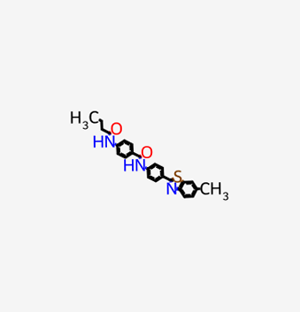 CCCC(=O)Nc1ccc(C(=O)Nc2ccc(-c3nc4ccc(C)cc4s3)cc2)cc1